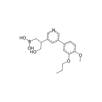 CCCOc1cc(-c2cncc(C(CO)CB(O)O)c2)ccc1OC